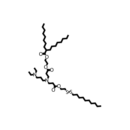 CCCCCCCCCCSSCCOC(=O)CCN(CCCN(CC)CC)CCC(=O)OCCOC(=O)C(CCCCCCCC)CCCCCCCC